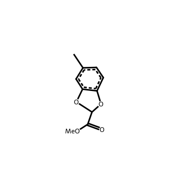 COC(=O)C1Oc2ccc(C)cc2O1